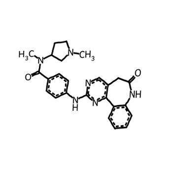 CN1CCC(N(C)C(=O)c2ccc(Nc3ncc4c(n3)-c3ccccc3NC(=O)C4)cc2)C1